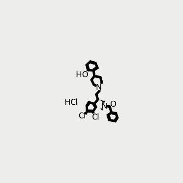 CN(C[C@@H](CCN1CCC(c2ccccc2O)CC1)c1ccc(Cl)c(Cl)c1)C(=O)c1ccccc1.Cl